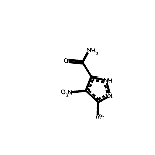 CCCc1n[nH]c(C(N)=O)c1[N+](=O)[O-]